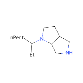 CCCCCC(CC)N1CCC2CNCC21